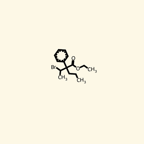 CCCC(C(=O)OCC)(c1ccccc1)C(C)Br